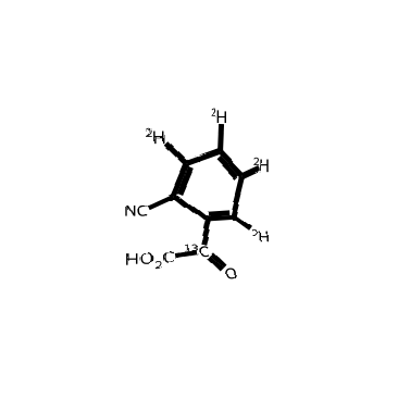 [2H]c1c([2H])c([2H])c([13C](=O)C(=O)O)c(C#N)c1[2H]